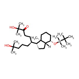 CC(C)(O)CCC[C@@H](CCC(=O)C(C)(C)O)[C@H]1CC[C@H]2[C@@H](O[Si](C)(C)C(C)(C)C)CCC[C@]12C